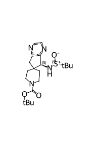 CC(C)(C)OC(=O)N1CCC2(CC1)Cc1nccnc1[C@H]2N[S@+]([O-])C(C)(C)C